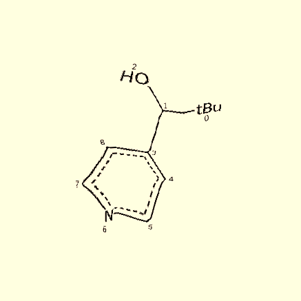 CC(C)(C)C(O)c1ccncc1